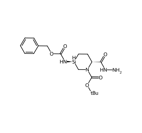 CC(C)(C)OC(=O)N1C[Si@@H](NC(=O)OCc2ccccc2)CC[C@@H]1C(=O)NN